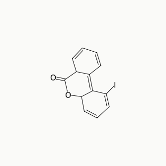 O=C1OC2C=CC=C(I)C2=C2C=CC=CC12